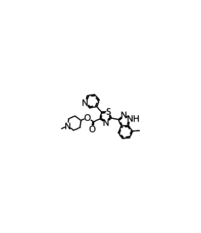 Cc1cccc2c(-c3nc(C(=O)OC4CCN(C)CC4)c(-c4cccnc4)s3)n[nH]c12